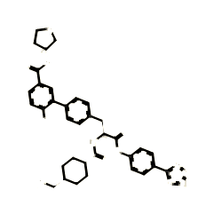 Cc1ccc(C(=O)N[C@@H]2CCNC2)cc1-c1ccc(C[C@H](NC(=O)[C@H]2CC[C@H](CN)CC2)C(=O)Nc2ccc(-c3nn[nH]n3)cc2)cc1.Cl